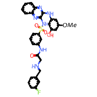 COc1cc(O)cc(Nc2nc3ccccc3nc2NS(=O)(=O)c2cccc(NC(=O)CNCc3cccc(F)c3)c2)c1